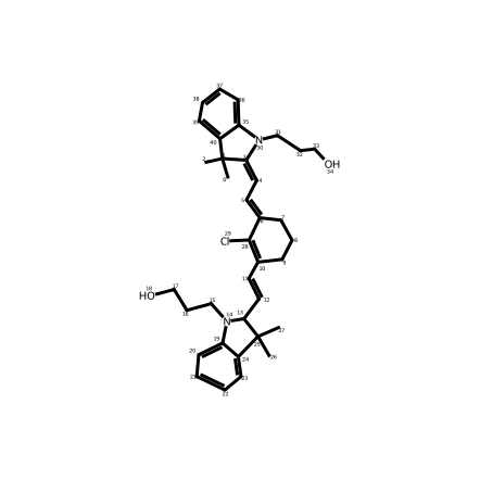 CC1(C)/C(=C\C=C2/CCCC(/C=C/C3N(CCCO)c4ccccc4C3(C)C)=C2Cl)N(CCCO)c2ccccc21